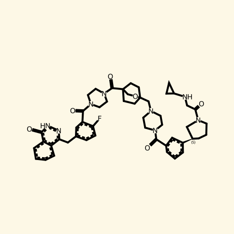 O=C(CNC1CC1)N1CCC[C@@H](c2cccc(C(=O)N3CCN(CC45CCC(C(=O)N6CCN(C(=O)c7cc(Cc8n[nH]c(=O)c9ccccc89)ccc7F)CC6)(CC4)CO5)CC3)c2)C1